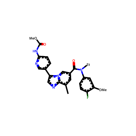 CCN(C(=O)c1cc(C)c2ncc(-c3ccc(NC(=O)OC)nc3)n2c1)c1ccc(F)c(OC)c1